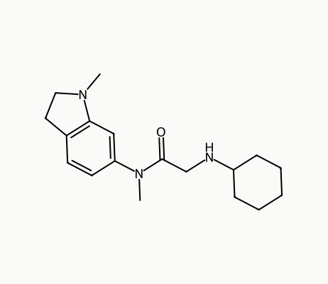 CN1CCc2ccc(N(C)C(=O)CNC3CCCCC3)cc21